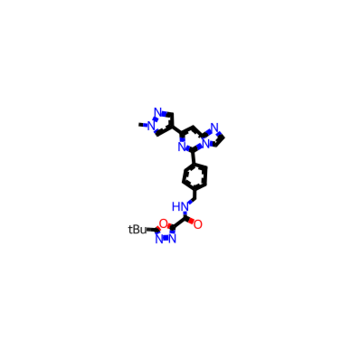 Cn1cc(-c2cc3nccn3c(-c3ccc(CNC(=O)c4nnc(C(C)(C)C)o4)cc3)n2)cn1